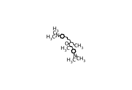 CCCC(CC=Cc1ccc(N(CC)CC)cc1)C(=O)C(C)=Cc1ccc(N(CC)CC)cc1